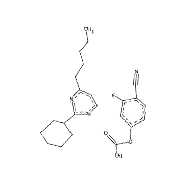 CCCCCc1ccnc(C2CCCCC2)n1.N#Cc1ccc(OC(=O)O)cc1F